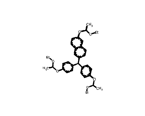 CCOC(C)Oc1ccc(C(c2ccc(OC(C)OCC)cc2)c2ccc3cc(OC(C)OCC)ccc3c2)cc1